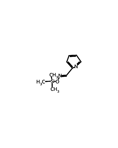 C[Si](C)(C)ON=Cc1ccccn1